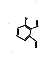 C=Cc1cccc(S)c1C=C